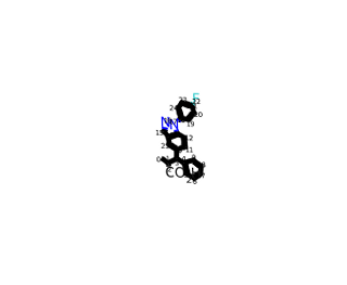 CC(C(=O)O)C(c1ccccc1)c1ccc2c(cnn2-c2ccc(F)cc2)c1